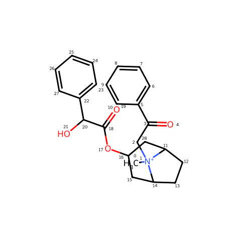 C[N+]1(CC(=O)c2ccccc2)C2CCC1CC(OC(=O)C(O)c1ccccc1)C2